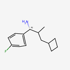 CC(CC1CCC1)[C@@H](N)c1ccc(F)cc1